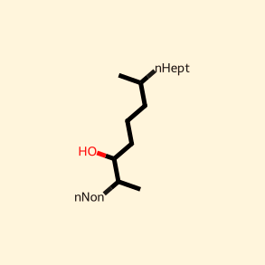 CCCCCCCCCC(C)C(O)CCCC(C)CCCCCCC